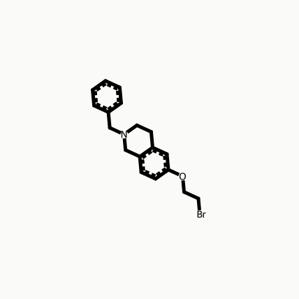 BrCCOc1ccc2c(c1)CCN(Cc1ccccc1)C2